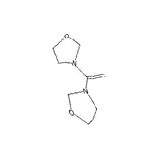 C=C(N1CCOC1)N1CCOC1